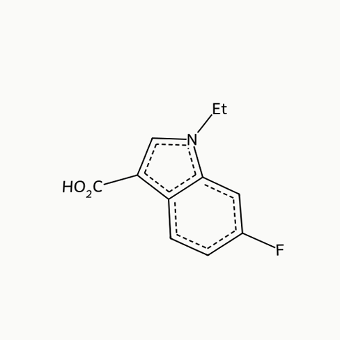 CCn1cc(C(=O)O)c2ccc(F)cc21